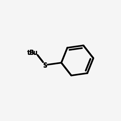 CC(C)(C)SC1C=CC=CC1